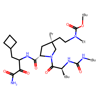 CCN(CC[C@]1(C(C)C)C[C@@H](C(=O)NC(CC2CCC2)C(=O)C(N)=O)N(C(=O)[C@@H](NC(=O)NC(C)(C)C)C(C)(C)C)C1)C(=O)OC(C)(C)C